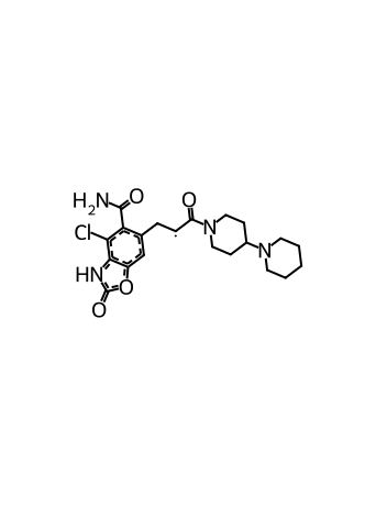 NC(=O)c1c(C[CH]C(=O)N2CCC(N3CCCCC3)CC2)cc2oc(=O)[nH]c2c1Cl